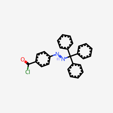 O=C(Cl)c1ccc(/N=N/C(c2ccccc2)(c2ccccc2)c2ccccc2)cc1